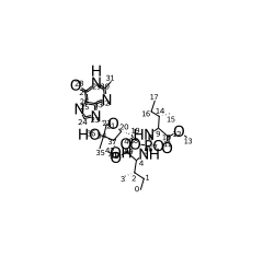 CC[C@H](C)C(NP(=O)(NC(C(=O)OC)[C@@H](C)CC)OC[C@H]1O[C@@H](n2cnc3c(=O)[nH]c(C)nc32)C(C)(O)[C@H]1O)C(=O)OC